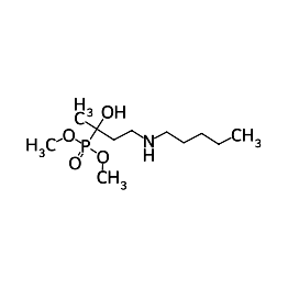 CCCCCNCCC(C)(O)P(=O)(OC)OC